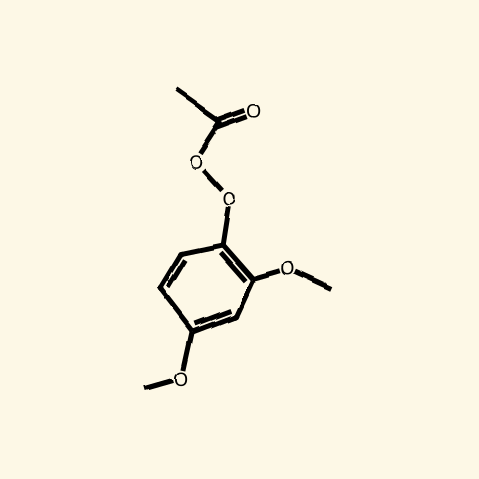 COc1ccc(OOC(C)=O)c(OC)c1